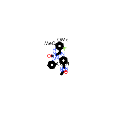 COc1cc(F)c(C(=Nc2ccc(-c3noc(C)n3)cc2)c2nn(-c3ccccc3C(=O)O)c(=O)[nH]2)cc1OC